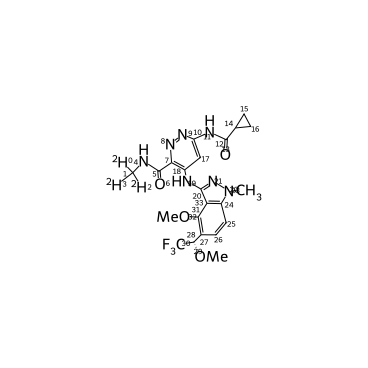 [2H]C([2H])([2H])NC(=O)c1nnc(NC(=O)C2CC2)cc1Nc1nn(C)c2ccc([C@H](OC)C(F)(F)F)c(OC)c12